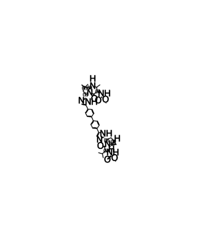 COC(=O)N[C@H](C(=O)N1[C@H](c2ncc(-c3ccc(-c4ccc(-c5cnc([C@@H]6C[C@]7(C)C[C@@]78NC(C)[C@H](NC(=O)OC)C(=O)N68)[nH]5)cc4)cc3)[nH]2)C[C@@H]2C[C@@H]21)C(C)C